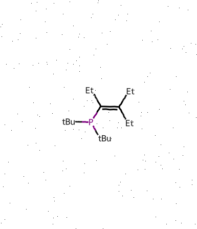 CCC(CC)=C(CC)P(C(C)(C)C)C(C)(C)C